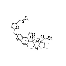 CCSCc1ccc(Cn2cc3c(n2)C=C2CC[C@@H]4[C@H]([C@@H](O)C[C@@]5(C)[C@H]4C[C@@H](C)[C@]5(C)C(=O)CC)[C@@]2(C)C3)o1